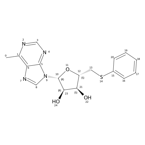 Cc1ncnc2c1ncn2[C@@H]1O[C@H](CSc2ccccc2)[C@@H](O)[C@H]1O